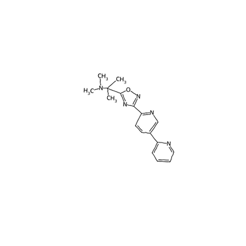 CN(C)C(C)(C)c1nc(-c2ccc(-c3ccccn3)cn2)no1